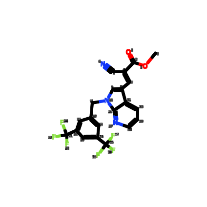 COC(=O)/C(C#N)=C/c1cn(Cc2cc(C(F)(F)F)cc(C(F)(F)F)c2)c2ncccc12